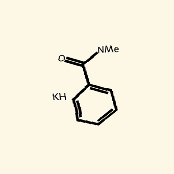 CNC(=O)c1ccccc1.[KH]